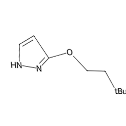 CC(C)(C)CCOc1cc[nH]n1